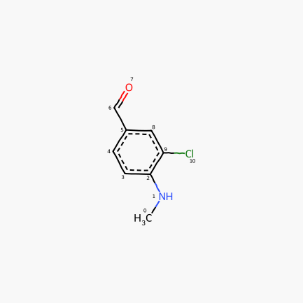 CNc1ccc(C=O)cc1Cl